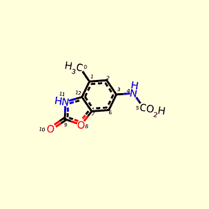 Cc1cc(NC(=O)O)cc2oc(=O)[nH]c12